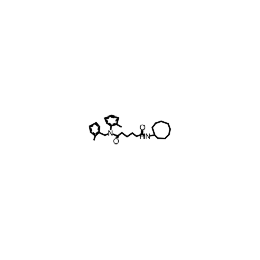 Cc1ccccc1CN(C(=O)CCCCC(=O)NC1CCCCCCCC1)c1ccccc1C